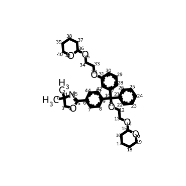 CC1(C)COC(c2ccc(C(OCCOC3CCCCO3)(c3ccccc3)c3cccc(OCCOC4CCCCO4)c3)cc2)=N1